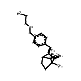 CC12CCC(C(=Cc3ccc(COCCO)cc3)C1=O)C2(C)C